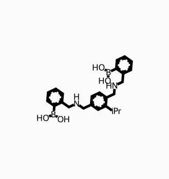 CC(C)c1cc(CNCc2ccccc2B(O)O)ccc1CNCc1ccccc1B(O)O